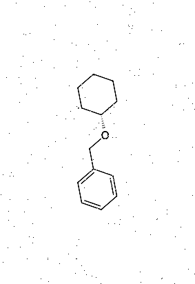 [CH]1CCCC[C@@H]1OCc1ccccc1